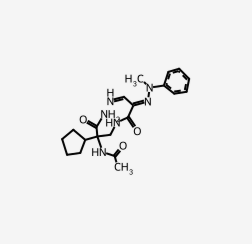 CC(=O)NC(CNC(=O)/C(C=N)=N/N(C)c1ccccc1)(C(N)=O)C1CCCC1